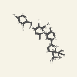 CC1=CC(OCc2ncc(F)cc2F)=C(Cl)C(=C=O)N1c1cc(-c2ccc3c(n2)C(C)(C)NC3=O)ncc1C